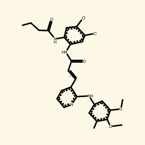 CCCC(=O)Nc1cc(Cl)c(Cl)cc1NC(=O)/C=C/c1cccnc1Nc1cc(C)c(OC)c(OC)c1